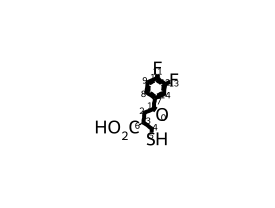 O=C(C[C@H](CS)C(=O)O)c1ccc(F)c(F)c1